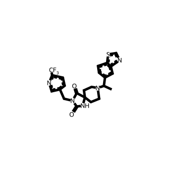 CC(c1ccc2scnc2c1)N1CCC2(CC1)NC(=O)N(Cc1ccc(C(F)(F)F)nc1)C2=O